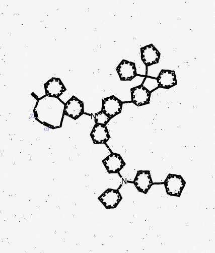 C=C1/C=C\C=C/Cc2cc(-n3c4ccc(-c5ccc(N(c6ccccc6)c6ccc(-c7ccccc7)cc6)cc5)cc4c4cc(-c5ccc6c(c5)C(c5ccccc5)(c5ccccc5)c5ccccc5-6)ccc43)ccc2-c2ccccc21